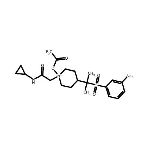 CC(C)(C1CC[N+](CC(=O)NC2CC2)(OC(=O)C(F)(F)F)CC1)S(=O)(=O)c1cccc(C(F)(F)F)c1